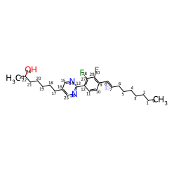 CCCCCCC/C=C/c1ccc(-c2ncc(CCCCCC(C)O)cn2)c(F)c1F